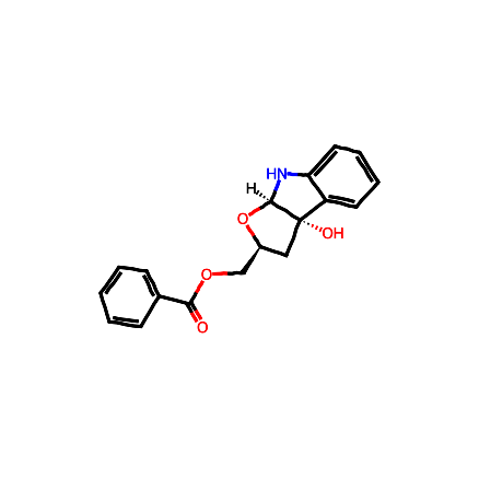 O=C(OC[C@@H]1C[C@]2(O)c3ccccc3N[C@@H]2O1)c1ccccc1